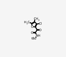 Cc1oc(C(=O)C(=O)NC(C)(C)C)c(Cl)c1C